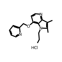 CCCn1c(C)c(C)c2nccc(OCc3ccccn3)c21.Cl